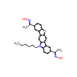 CCCCCCn1c2ccc(/C(C)=N/O)cc2c2cc3sc4ccc(/C(C)=N/O)cc4c3cc21